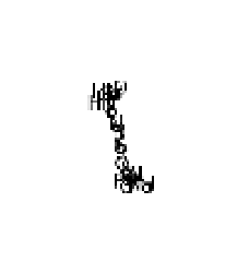 O=C1CCC(Nc2ccc(N3CCN(CCN4CCC(COc5cc(F)c6c(=O)[nH]c(CC7CCCC7)nc6c5)CC4)CC3)cc2)C(=O)N1